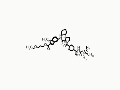 CCOCCCOC(=O)c1cc2cc(NC(=O)[C@H]3[C@H](C4CCCCC4)CCN3C(=O)C3CCC([C@@H](CF)NC(=O)OC(C)(C)C)CC3)ccc2n1C